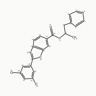 CC(Cc1ccncc1)OC(=O)c1ccc2nc(-c3cc(Cl)cc(Cl)c3)oc2c1